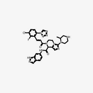 CC1CNCCN1c1ncc2n1CCN(C(=O)C=Cc1c(-n3cnnn3)ccc(Cl)c1F)C2C(=O)Nc1ccc2cn[nH]c2c1